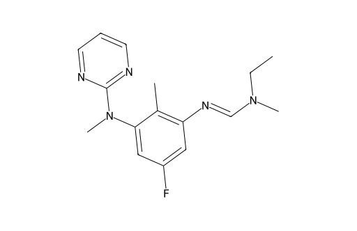 CCN(C)/C=N/c1cc(F)cc(N(C)c2ncccn2)c1C